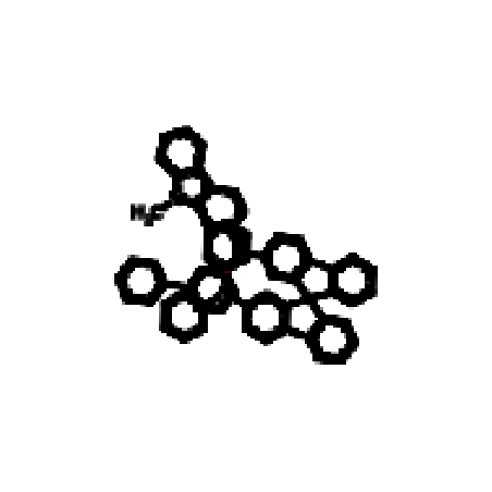 Cn1c2ccccc2c2ccc(N(c3cccc(-c4ccccc4)c3)c3ccc4c(c3)C3(c5ccccc5-c5ccc(N(c6ccccc6)c6ccccc6)cc53)c3ccccc3-4)cc21